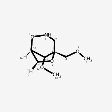 [3H][C@@H]1O[C@@]2(COC)CNO[C@H]1C2OC